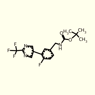 CC(C)(C)OC(=O)NCc1ccc(F)c(-c2cnc(C(F)(F)F)nc2)c1